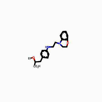 CCOC(Cc1ccc(NCCN2CCOc3ccccc32)cc1)C(=O)O